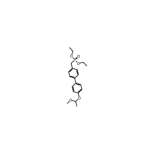 CCOP(=O)(Cc1ccc(-c2ccc(OC(C)OC)cc2)cc1)OCC